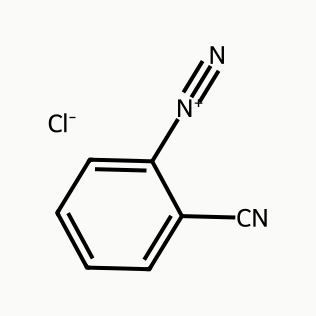 N#Cc1ccccc1[N+]#N.[Cl-]